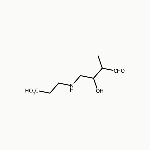 CC(C=O)C(O)CNCCC(=O)O